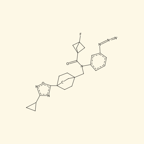 [N-]=[N+]=Nc1cccc(N(CC23CCC(c4nc(C5CC5)no4)(CC2)CC3)C(=O)C23CC(F)(C2)C3)c1